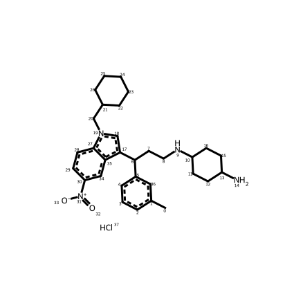 Cc1cccc(C(CCNC2CCC(N)CC2)c2cn(CC3CCCCC3)c3ccc([N+](=O)[O-])cc23)c1.Cl